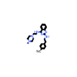 CN1CCN(CCNc2nc(NCCc3ccc(C#N)cc3)nc3ccccc23)CC1